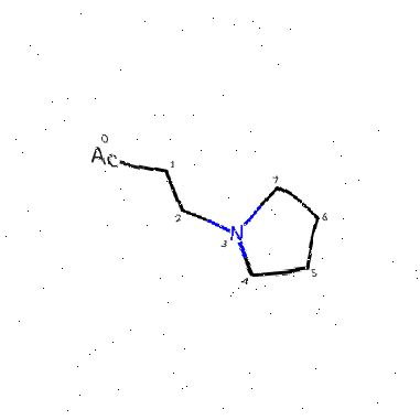 CC(=O)CCN1CCCC1